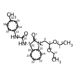 CCOC(CN1C(=O)[C@@H](NC(=O)Nc2ccc(C)cc2)c2ccccc21)OCC